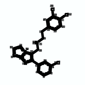 Clc1cccc(-c2nc3sccn3c2CNCCc2ccc(Cl)c(Cl)c2)c1